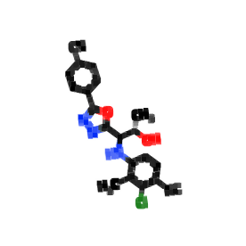 [C-]#[N+]c1ccc(N[C@@H](c2nnc(-c3ccc(C#N)cc3)o2)[C@H](C)O)c(C)c1Cl